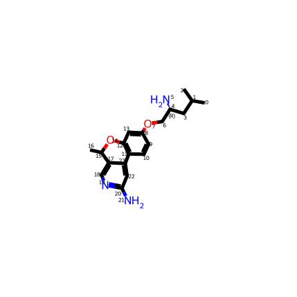 CC(C)C[C@@H](N)COc1ccc2c(c1)OC(C)c1cnc(N)cc1-2